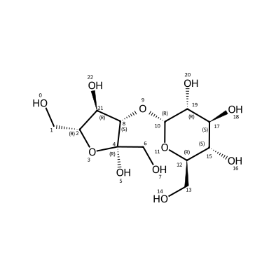 OC[C@H]1O[C@](O)(CO)[C@@H](O[C@H]2O[C@H](CO)[C@@H](O)[C@H](O)[C@H]2O)[C@@H]1O